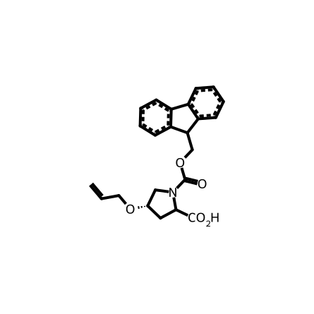 C=CCO[C@H]1CC(C(=O)O)N(C(=O)OCC2c3ccccc3-c3ccccc32)C1